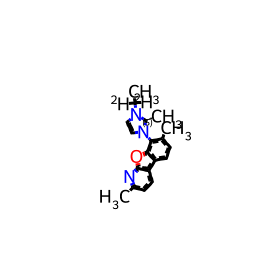 [2H]C([2H])(C)N1C=CN(c2c(C)ccc3c2oc2nc(C)ccc23)[C@H]1C